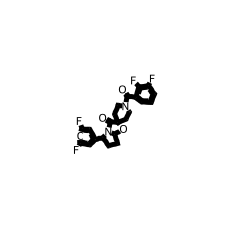 O=C(c1cccc(F)c1F)N1CCC2(CC1)OC1CCC(c3cc(F)cc(F)c3)N1C2=O